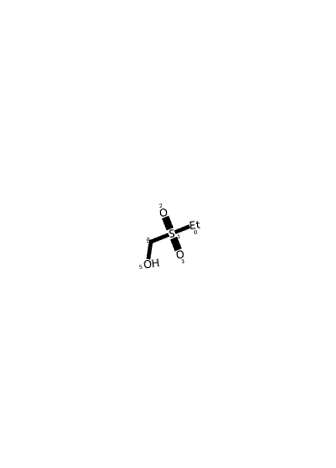 CCS(=O)(=O)[CH]O